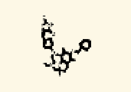 CCN(CCOc1ccc(C=C2SC(=O)NC2=O)cc1)CC1(C)CCc2c(C)c(OCc3ccccc3)c(C)c(C)c2O1